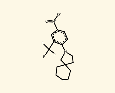 O=[N+]([O-])c1ccc(N2CCC3(CCCCC3)C2)c(C(F)(F)F)c1